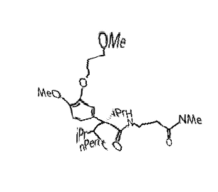 CCCCCC(C(C)C)[C@](C(=O)NCCC(=O)NC)(c1ccc(OC)c(OCCCOC)c1)C(C)C